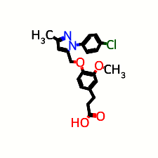 COc1cc(CCC(=O)O)ccc1OCc1cc(C)nn1-c1ccc(Cl)cc1